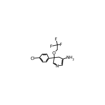 NC1=CN=CC(OCC(F)(F)F)(c2ccc(Cl)cc2)C1